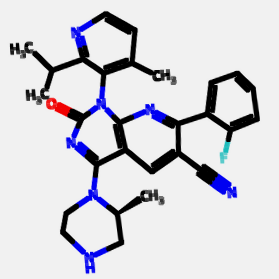 Cc1ccnc(C(C)C)c1-n1c(=O)nc(N2CCNC[C@@H]2C)c2cc(C#N)c(-c3ccccc3F)nc21